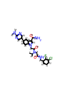 CC(C)N(CC(=O)NCc1cccc(Cl)c1F)C(=O)Cn1cc(C(N)=O)c2cc(-c3cnc(N(C)C)nc3)ccc21